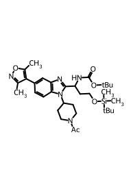 CC(=O)N1CCC(n2c(C(CCO[Si](C)(C)C(C)(C)C)NC(=O)OC(C)(C)C)nc3cc(-c4c(C)noc4C)ccc32)CC1